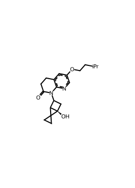 CC(C)CCOc1cnc2c(c1)CCC(=O)N2C1C[C@@]2(O)C1C21CC1